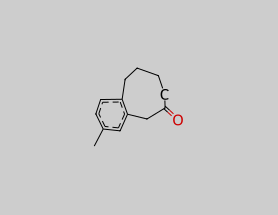 Cc1ccc2c(c1)CC(=O)CCCC2